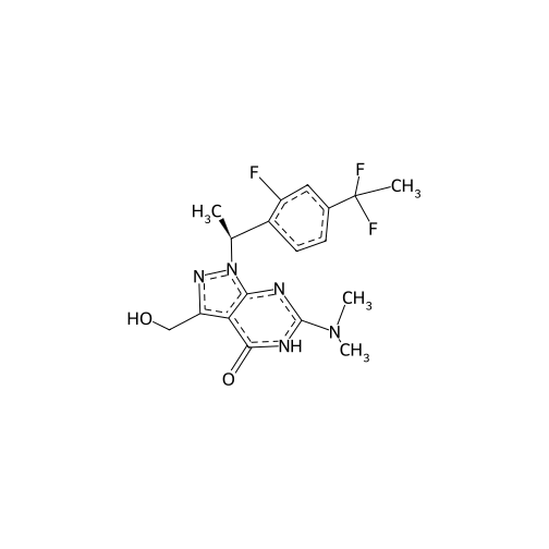 C[C@@H](c1ccc(C(C)(F)F)cc1F)n1nc(CO)c2c(=O)[nH]c(N(C)C)nc21